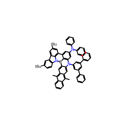 Cc1c2ccccc2c(C)c2cc3c(cc12)B1c2c(cc(N(c4ccccc4)c4ccccc4)cc2N3c2cc(-c3ccccc3)cc(-c3ccccc3)c2)-c2cc(C(C)(C)C)cc3c4cc(C(C)(C)C)ccc4n1c23